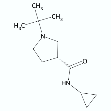 CC(C)(C)N1CC[C@@H](C(=O)NC2CC2)C1